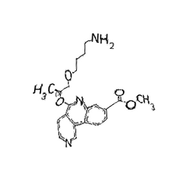 COC(=O)c1ccc2c(c1)nc(O[C@@H](C)COCCCCN)c1ccncc12